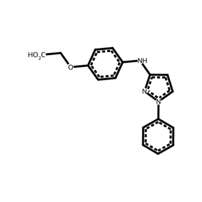 O=C(O)COc1ccc(Nc2ccn(-c3ccccc3)n2)cc1